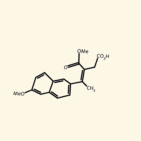 COC(=O)C(CC(=O)O)=C(C)c1ccc2cc(OC)ccc2c1